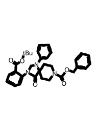 CC(C)(C)OC(=O)c1ccccc1N1CN(c2ccccc2)C2(CCN(C(=O)OCc3ccccc3)CC2)C1=O